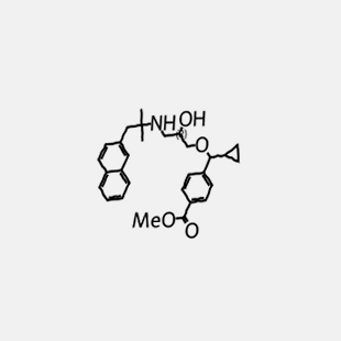 COC(=O)c1ccc(C(OC[C@H](O)CNC(C)(C)Cc2ccc3ccccc3c2)C2CC2)cc1